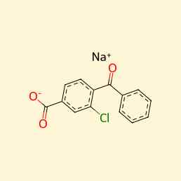 O=C([O-])c1ccc(C(=O)c2ccccc2)c(Cl)c1.[Na+]